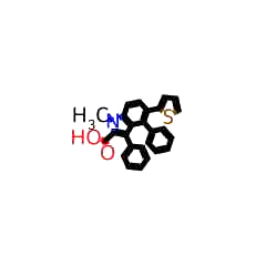 Cn1c(C(=O)O)c(-c2ccccc2)c2c(-c3ccccc3)c(-c3cccs3)ccc21